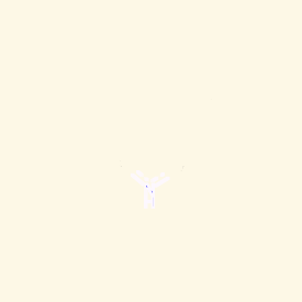 C=c1[nH]c(=C)c(C(C)C)c1C